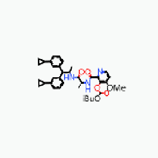 COc1ccnc(C(=O)N[C@@H](C)C(=O)NC(C)=C(c2cccc(C3CC3)c2)c2cccc(C3CC3)c2)c1OC(=O)OCC(C)C